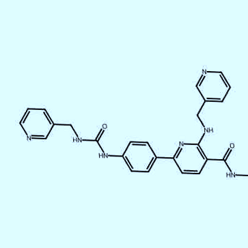 CNC(=O)c1ccc(-c2ccc(NC(=O)NCc3cccnc3)cc2)nc1NCc1cccnc1